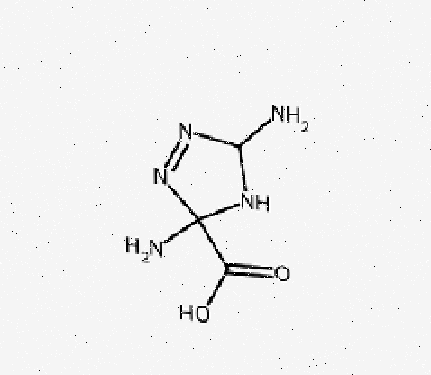 NC1N=NC(N)(C(=O)O)N1